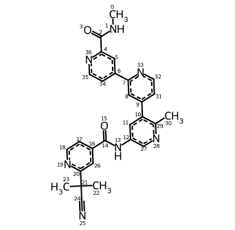 CNC(=O)c1cc(-c2cc(-c3cc(NC(=O)c4ccnc(C(C)(C)C#N)c4)cnc3C)ccn2)ccn1